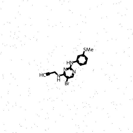 C#CCNc1nc(Nc2cccc(SC)c2)ncc1Br